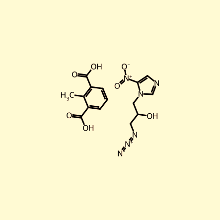 Cc1c(C(=O)O)cccc1C(=O)O.[N-]=[N+]=NCC(O)Cn1cncc1[N+](=O)[O-]